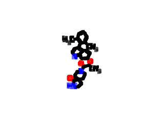 Cc1cccc(C)c1-c1ccnc2cc(OC(C)C(=O)N3CCC4(CCNC4=O)CC3)ccc12